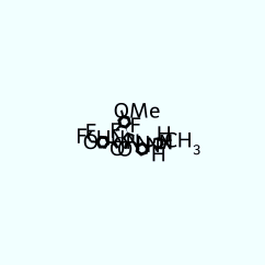 COc1cc(F)c([C@@H]2CN(c3cccc(N4C[C@@H]5C[C@H]4CN5C)n3)C(=O)[C@H]2NC(=O)c2ccc(OC(F)F)cc2)c(F)c1